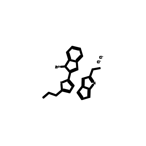 CCC1=NC2=CC=CC2=C1.CCCc1ccc(C2=Cc3ccccc3[CH]2[Zr+2])s1.[Cl-].[Cl-]